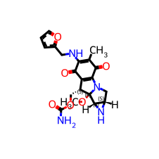 CO[C@@]12[C@H](COC(N)=O)C3=C(C(=O)C(C)=C(NCc4ccco4)C3=O)N1C[C@@H]1N[C@@H]12